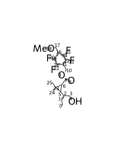 CC=C(CO)C1C(C(=O)OCc2c(F)c(F)c(COC)c(F)c2F)C1(C)C